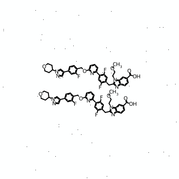 COCCn1c(Cc2cc(F)c(-c3cccc(OCc4ccc(-c5cnn(C6CCOCC6)c5)cc4F)n3)cc2F)nc2ccc(C(=O)O)cc21.COCCn1c(Cc2cc(F)c(-c3cccc(OCc4ccc(-c5cnn(C6CCOCC6)c5)cc4F)n3)cc2F)nc2ccc(C(=O)O)cc21